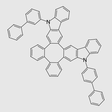 c1ccc(-c2ccc(-n3c4ccccc4c4cc5c(cc43)-c3ccccc3-c3ccccc3-c3cc4c(cc3-5)c3ccccc3n4-c3cccc(-c4ccccc4)c3)cc2)cc1